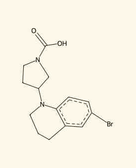 O=C(O)N1CCC(N2CCCc3cc(Br)ccc32)C1